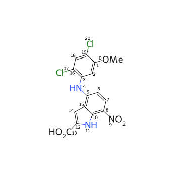 COc1cc(Nc2ccc([N+](=O)[O-])c3[nH]c(C(=O)O)cc23)c(Cl)cc1Cl